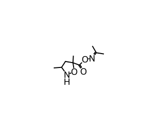 CC(C)=NOC(=O)C1(C)CC(C)NO1